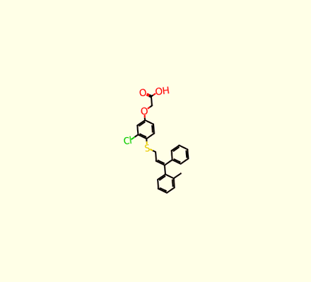 Cc1ccccc1C(=CCSc1ccc(OCC(=O)O)cc1Cl)c1ccccc1